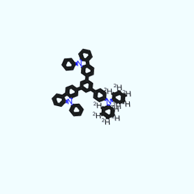 [2H]c1c([2H])c([2H])c(N(c2ccc(-c3cc(-c4ccc5c6ccccc6n(-c6ccccc6)c5c4)cc(-c4ccc5c6ccccc6n(-c6ccccc6)c5c4)c3)cc2)c2c([2H])c([2H])c([2H])c([2H])c2[2H])c([2H])c1[2H]